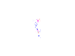 Cc1ccc(-c2cccc(C(=O)NC3CCN(Cc4ccc(N5CCC(NC(=O)OC(C)(C)C)CC5)nc4)CC3)c2F)cn1